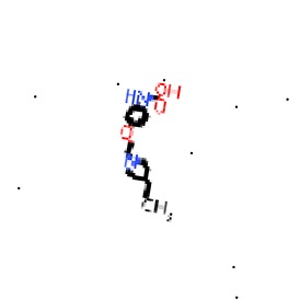 CCCC1CCN(CCOc2ccc(NC(=O)O)cc2)CC1